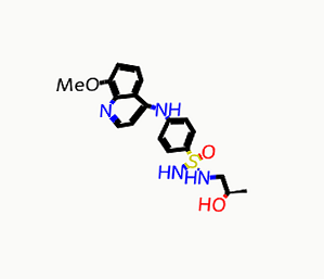 COc1cccc2c(Nc3ccc([S@](=N)(=O)NC[C@@H](C)O)cc3)ccnc12